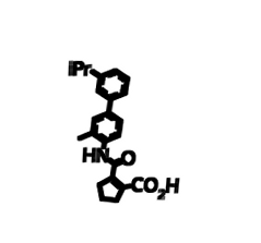 Cc1cc(-c2cccc(C(C)C)c2)ccc1NC(=O)C1=C(C(=O)O)CCC1